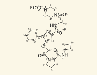 CCOC(=O)N1CCN(C(=O)C(CF)NC(=O)c2cc(OCC(=O)N3CCCC3C(=O)NC3CCC3)n(-c3ccccc3)n2)CC1